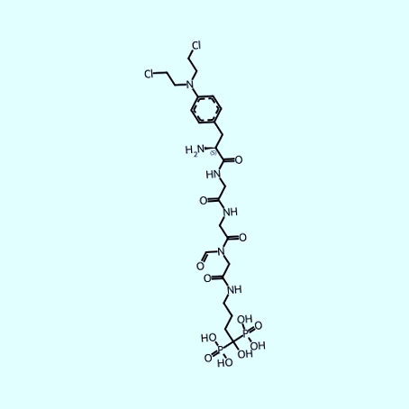 N[C@@H](Cc1ccc(N(CCCl)CCCl)cc1)C(=O)NCC(=O)NCC(=O)N(C=O)CC(=O)NCCCC(O)(P(=O)(O)O)P(=O)(O)O